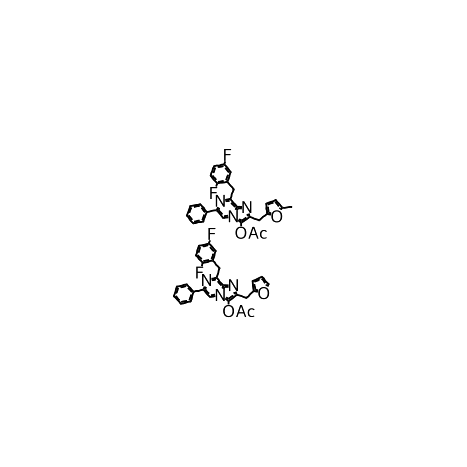 CC(=O)Oc1c(Cc2ccc(C)o2)nc2c(Cc3cc(F)ccc3F)nc(-c3ccccc3)cn12.CC(=O)Oc1c(Cc2ccco2)nc2c(Cc3cc(F)ccc3F)nc(-c3ccccc3)cn12